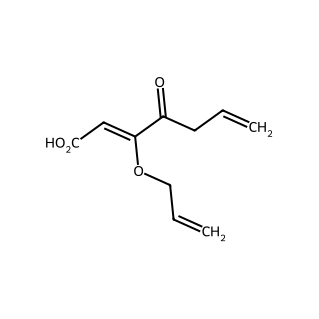 C=CCOC(=CC(=O)O)C(=O)CC=C